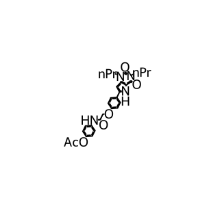 CCCn1c(=O)c2[nH]c(-c3ccc(OCC(=O)Nc4ccc(OC(C)=O)cc4)cc3)cc2n(CCC)c1=O